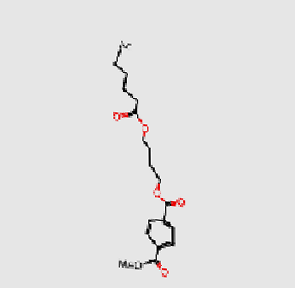 COC(=O)c1ccc(C(=O)OCCCCOC(=O)CCCCC(C)=O)cc1